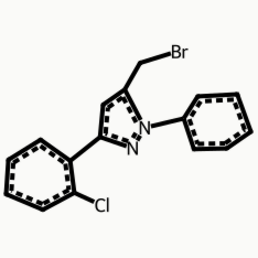 Clc1ccccc1-c1cc(CBr)n(-c2ccccc2)n1